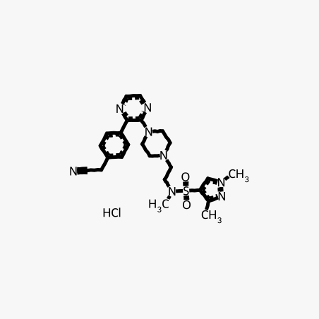 Cc1nn(C)cc1S(=O)(=O)N(C)CCN1CCN(c2nccnc2-c2ccc(CC#N)cc2)CC1.Cl